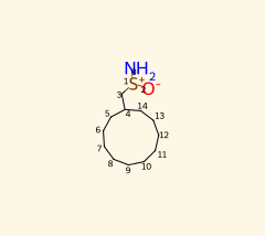 N[S+]([O-])CC1CCCCCCCCCC1